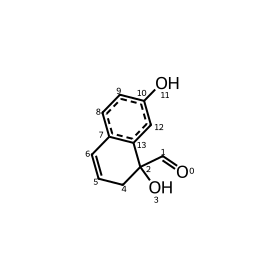 O=CC1(O)CC=Cc2ccc(O)cc21